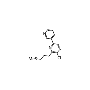 CSCCCc1nc(-c2cccnc2)cnc1Cl